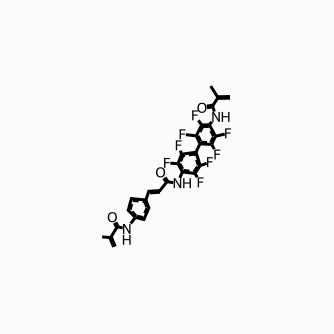 C=C(C)C(=O)Nc1ccc(/C=C/C(=O)Nc2c(F)c(F)c(-c3c(F)c(F)c(NC(=O)C(=C)C)c(F)c3F)c(F)c2F)cc1